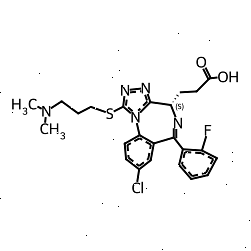 CN(C)CCCSc1nnc2n1-c1ccc(Cl)cc1C(c1ccccc1F)=N[C@H]2CCC(=O)O